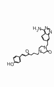 Nc1ncnc2cc(CN3CCN(CCCC(=O)C=Cc4ccc(O)cc4)CC3=O)ccc12